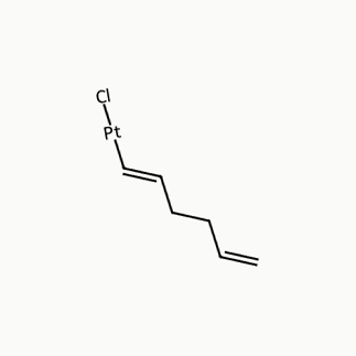 C=CCCC=[CH][Pt][Cl]